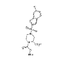 CC(C)(C)OC(=O)N1CCN(S(=O)(=O)c2cc3ccc(Cl)cc3s2)CC1C(=O)O